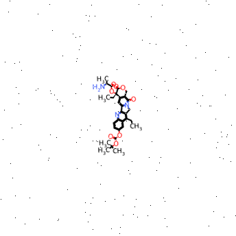 CCc1c2c(nc3ccc(OC(=O)OC(C)(C)C)cc13)-c1cc3c(c(=O)n1C2)COC(=O)[C@@]3(CC)OC(=O)C(C)N